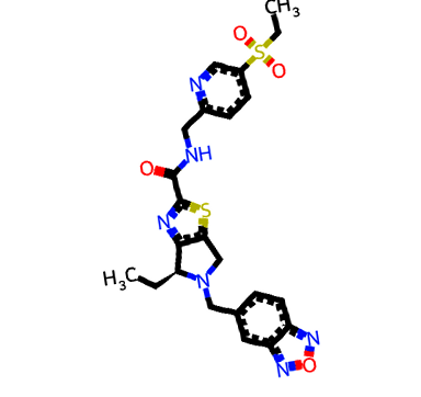 CC[C@H]1c2nc(C(=O)NCc3ccc(S(=O)(=O)CC)cn3)sc2CN1Cc1ccc2nonc2c1